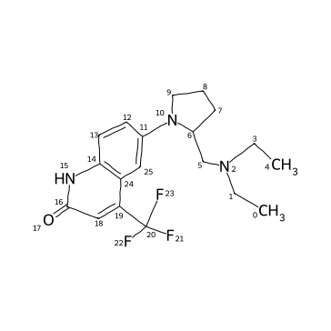 CCN(CC)CC1CCCN1c1ccc2[nH]c(=O)cc(C(F)(F)F)c2c1